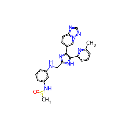 Cc1cccc(-c2[nH]c(CNc3cccc(N[S+](C)[O-])c3)nc2-c2ccc3ncnn3c2)n1